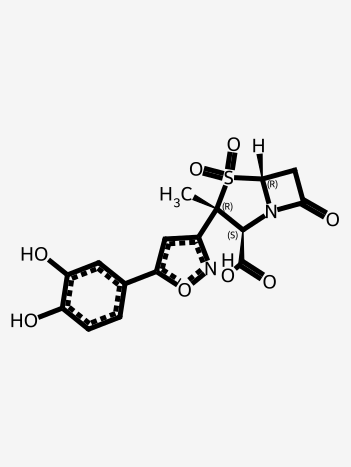 C[C@]1(c2cc(-c3ccc(O)c(O)c3)on2)[C@H](C(=O)O)N2C(=O)C[C@H]2S1(=O)=O